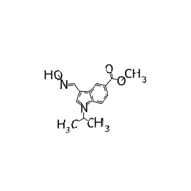 COC(=O)c1ccc2c(c1)c(C=NO)cn2C(C)C